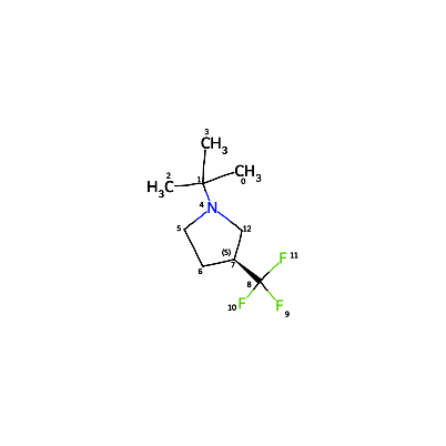 CC(C)(C)N1CC[C@H](C(F)(F)F)C1